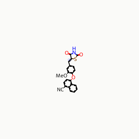 COc1cc(/C=C2\SC(=O)NC2=O)ccc1Oc1ccc(C#N)c2ccccc12